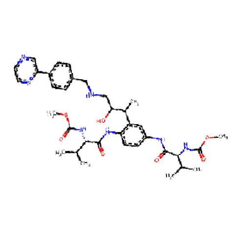 COC(=O)N[C@H](C(=O)Nc1ccc(NC(=O)[C@@H](NC(=O)OC)C(C)C)c(C(C)C(O)CNCc2ccc(-c3cnccn3)cc2)c1)C(C)C